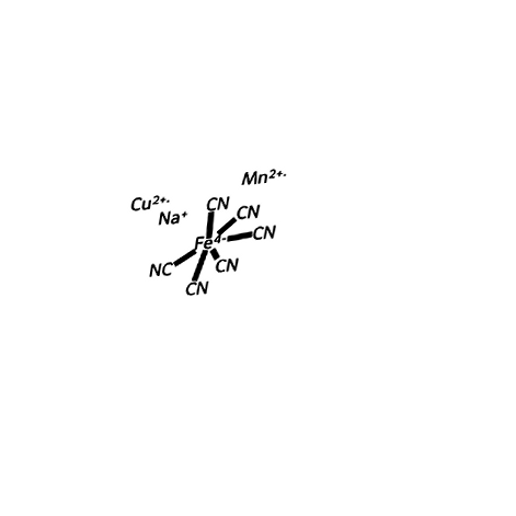 N#[C][Fe-4]([C]#N)([C]#N)([C]#N)([C]#N)[C]#N.[Cu+2].[Mn+2].[Na+]